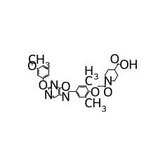 COc1cccc(Oc2ncc3nc(-c4cc(C)c(OCC(=O)N5CCC(C(=O)O)CC5)c(C)c4)oc3n2)c1